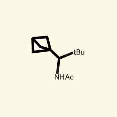 CC(=O)NC(C(C)(C)C)C12CC(C1)C2